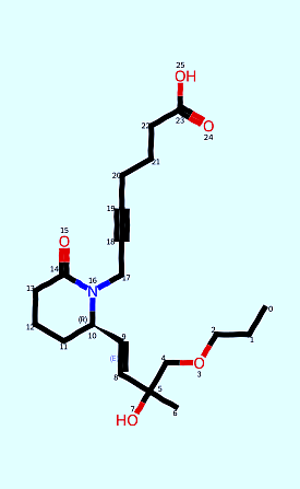 CCCOCC(C)(O)/C=C/[C@H]1CCCC(=O)N1CC#CCCCC(=O)O